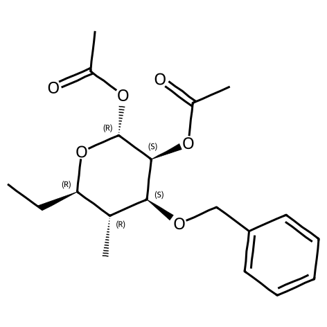 CC[C@H]1O[C@H](OC(C)=O)[C@@H](OC(C)=O)[C@@H](OCc2ccccc2)[C@@H]1C